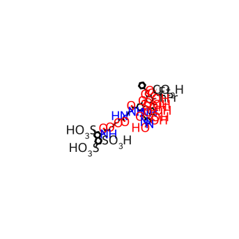 CCCC(CC)C[C@H](OC1C(O)C(CO)OC(OC2CC(C(=O)NCCNC(=O)COCCOCC(=O)Nc3cc(S(=O)(=O)O)cc4cc(S(=O)(=O)O)cc(S(=O)(=O)O)c34)CC(NC(=O)c3cc(O)nc(O)n3)C2OC2OC(C)C(O)C(O)C2O)C1OC(=O)c1ccccc1)C(=O)O